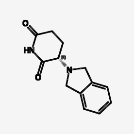 O=C1CC[C@H](N2Cc3ccccc3C2)C(=O)N1